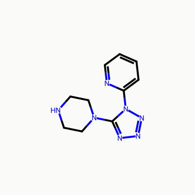 c1ccc(-n2nnnc2N2CCNCC2)nc1